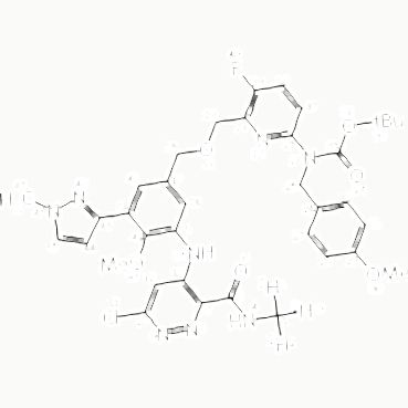 [2H]C([2H])([2H])NC(=O)c1nnc(Cl)cc1Nc1cc(COCc2nc(N(Cc3ccc(OC)cc3)C(=O)OC(C)(C)C)ccc2F)cc(-c2ccn(C)n2)c1OC